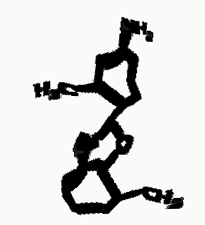 Cc1cc(N)ccc1-c1nc2cccc(C)c2o1